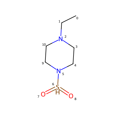 CCN1CCN([SH](=O)=O)CC1